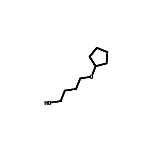 OCCCCOC1CCCC1